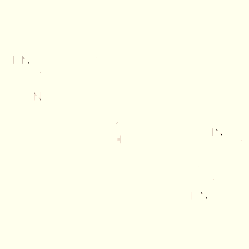 CC(=N)[C@]1(Oc2ccc(C(Cc3ccc4ccc(C(=N)N)cc4c3)C(=O)O)cc2)CCNC1